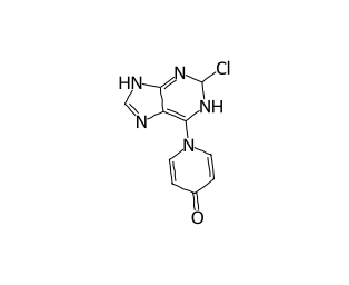 O=c1ccn(C2=c3nc[nH]c3=NC(Cl)N2)cc1